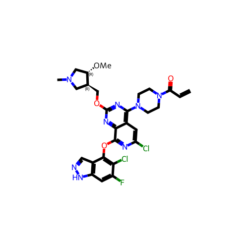 C=CC(=O)N1CCN(c2nc(OC[C@H]3CN(C)C[C@@H]3OC)nc3c(Oc4c(Cl)c(F)cc5[nH]ncc45)nc(Cl)cc23)CC1